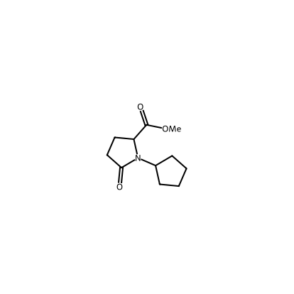 COC(=O)C1CCC(=O)N1C1CCCC1